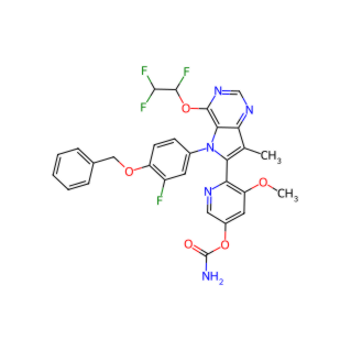 COc1cc(OC(N)=O)cnc1-c1c(C)c2ncnc(OC(F)C(F)F)c2n1-c1ccc(OCc2ccccc2)c(F)c1